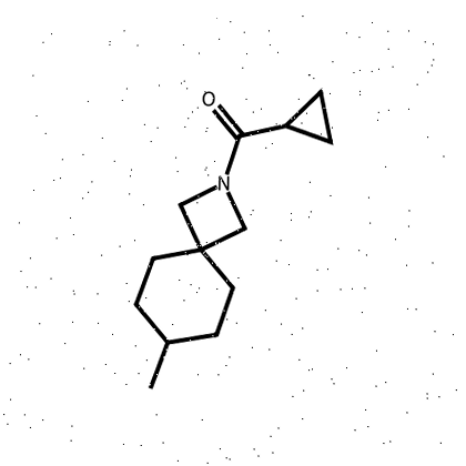 CC1CCC2(CC1)CN(C(=O)C1CC1)C2